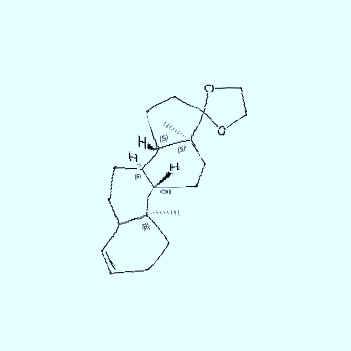 C[C@]12CCC=CC1CC[C@@H]1[C@@H]2CC[C@@]2(C)[C@H]1CCC21OCCO1